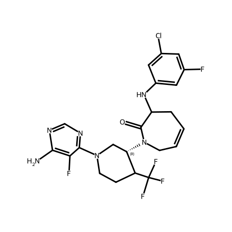 Nc1ncnc(N2CCC(C(F)(F)F)[C@@H](N3CC=CCC(Nc4cc(F)cc(Cl)c4)C3=O)C2)c1F